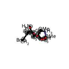 C=C(CBr)C(=O)OCCCCCC(=O)N[C@H](C(=O)N[C@@H](CCCNC(N)=O)C(=O)Nc1ccc(NC(=O)O[C@H]2CC(=O)N(C)c3cc(cc(OC)c3Cl)C/C(C)=C/C=C/[C@@H](OC)[C@@]3(O)C[C@H](OC(=O)N3)[C@@H](C)[C@@H]3O[C@@]23C)c(Cl)c1)C(C)C